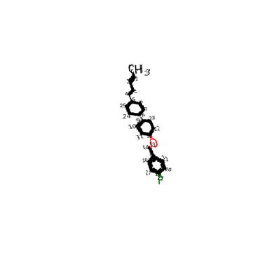 C/C=C/CC[C@H]1CC[C@H](C2CCC(OCc3ccc(F)cc3)CC2)CC1